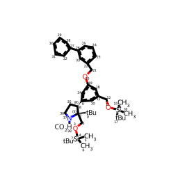 CC(C)(C)[C@]1(CO[Si](C)(C)C(C)(C)C)[C@@H](c2cc(CO[Si](C)(C)C(C)(C)C)cc(OCc3cccc(-c4ccccc4)c3)c2)CCN1C(=O)O